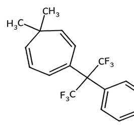 CC1(C)C=CC=C(C(c2ccccc2)(C(F)(F)F)C(F)(F)F)C=C1